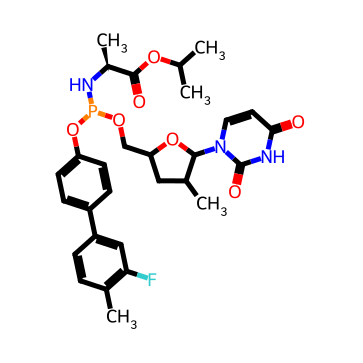 Cc1ccc(-c2ccc(OP(N[C@@H](C)C(=O)OC(C)C)OCC3CC(C)C(n4ccc(=O)[nH]c4=O)O3)cc2)cc1F